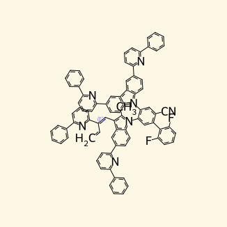 C=C/C(=C\c1c(C)n(-c2cc(-c3c(F)cccc3F)c(C#N)cc2-n2c3ccc(-c4cccc(-c5ccccc5)n4)cc3c3cc(-c4cccc(-c5ccccc5)n4)ccc32)c2ccc(-c3cccc(-c4ccccc4)n3)cc12)c1cccc(-c2ccccc2)n1